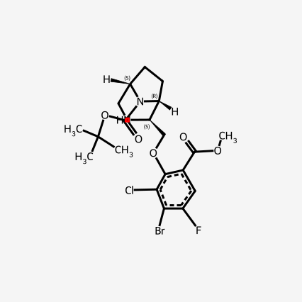 COC(=O)c1cc(F)c(Br)c(Cl)c1OC[C@H]1NC[C@@H]2CC[C@H]1N2C(=O)OC(C)(C)C